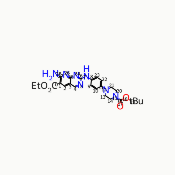 CCOC(=O)c1cc2cnc(Nc3ccc(N4CCN(C(=O)OC(C)(C)C)CC4)cc3)nc2nc1N